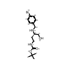 CC(C)(C)OC(=O)NCC[C@H](CO)NCc1ccc(Br)cc1